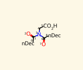 CCCCCCCCCCC(=O)N(CC(=O)O)C(=O)CCCCCCCCCC